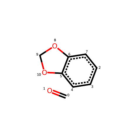 C=O.c1ccc2c(c1)OCO2